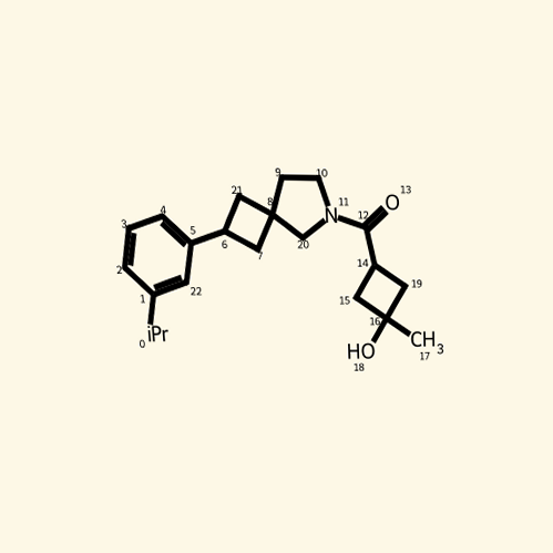 CC(C)c1cccc(C2CC3(CCN(C(=O)C4CC(C)(O)C4)C3)C2)c1